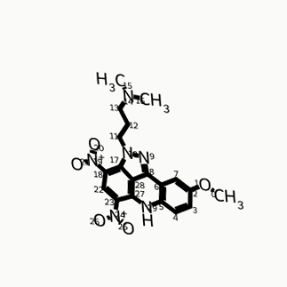 COc1ccc2c(c1)-c1nn(CCCN(C)C)c3c([N+](=O)[O-])cc([N+](=O)[O-])c(c13)N2